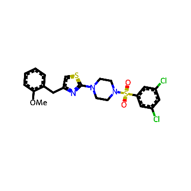 COc1ccccc1Cc1csc(N2CCN(S(=O)(=O)c3cc(Cl)cc(Cl)c3)CC2)n1